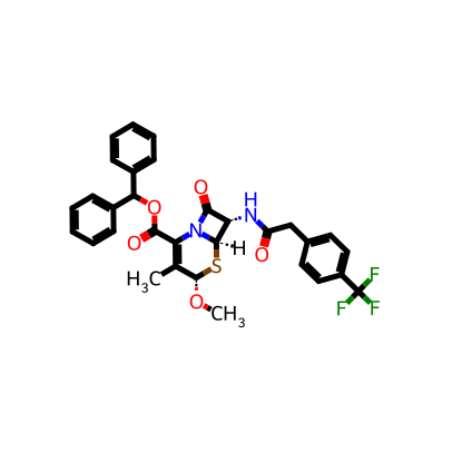 CO[C@H]1S[C@@H]2[C@@H](NC(=O)Cc3ccc(C(F)(F)F)cc3)C(=O)N2C(C(=O)OC(c2ccccc2)c2ccccc2)=C1C